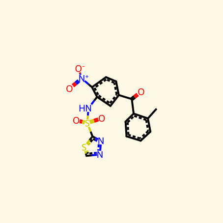 Cc1ccccc1C(=O)c1ccc([N+](=O)[O-])c(NS(=O)(=O)c2nncs2)c1